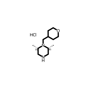 C[C@@H]1CNC[C@H](C)N1CC1CCOCC1.Cl